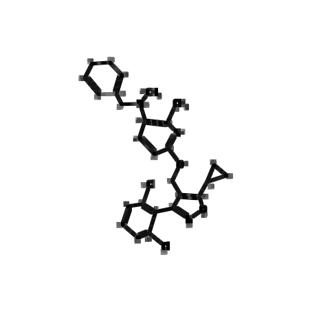 Cc1nc(OCc2c(-c3c(Cl)cccc3Cl)noc2C2CC2)ccc1N(C)CC1=CCCC=C1